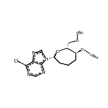 CCCCOC[C@H]1O[C@@H](n2cnc3c(Cl)ncnc32)CCC[C@@H]1OCCCC